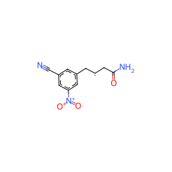 N#Cc1cc(C[CH]CC(N)=O)cc([N+](=O)[O-])c1